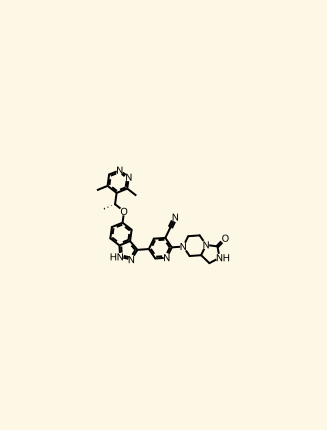 Cc1cnnc(C)c1[C@@H](C)Oc1ccc2[nH]nc(-c3cnc(N4CCN5C(=O)NCC5C4)c(C#N)c3)c2c1